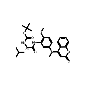 COc1ccc(N(C)c2cc(=O)oc3ccccc23)cc1NC(=O)[C@H](CC(C)C)NC(=O)OC(C)(C)C